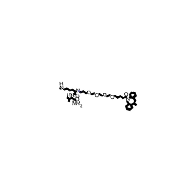 C=C1Cc2ccccc2N(C(=O)CCCCOCCOCCOCCOCC/C=N/C(CCCCNC)C(=O)NC(C(N)=O)C(C)C)Cc2ccccc21